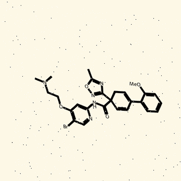 COc1ccccc1C1=CCC(C(=O)Nc2cc(OCCN(C)C)c(Br)cn2)(c2noc(C)n2)C=C1